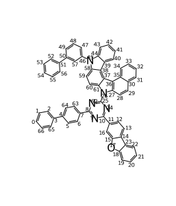 c1ccc(-c2ccc(-c3nc(-c4ccc5c(c4)oc4ccccc45)nc(-n4c5ccc6ccccc6c5c5c6c7ccccc7n(-c7cccc(-c8ccccc8)c7)c6ccc54)n3)cc2)cc1